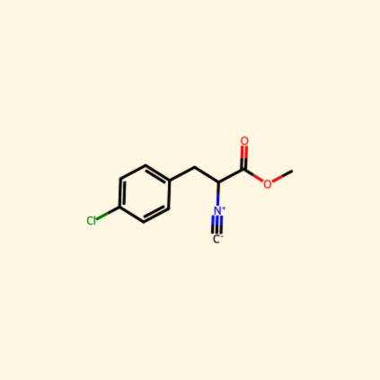 [C-]#[N+]C(Cc1ccc(Cl)cc1)C(=O)OC